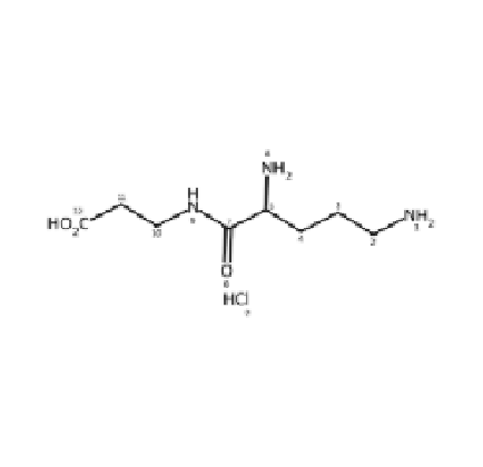 Cl.NCCCC(N)C(=O)NCCC(=O)O